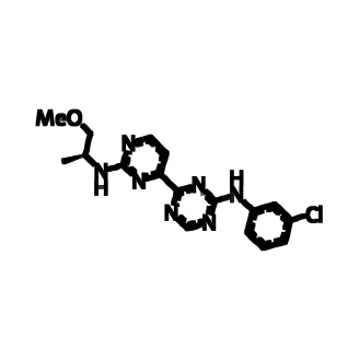 COC[C@H](C)Nc1nccc(-c2ncnc(Nc3cccc(Cl)c3)n2)n1